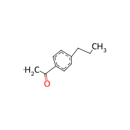 [CH2]C(=O)c1ccc(CCC)cc1